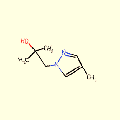 Cc1cnn(CC(C)(C)O)c1